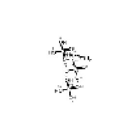 CCCCCCN.O=P(O)(O)O.O=P(O)(O)O.O=P(O)(O)O